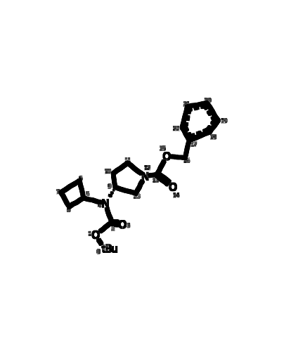 CC(C)(C)OC(=O)N(C1CCC1)[C@@H]1CCN(C(=O)OCc2ccccc2)C1